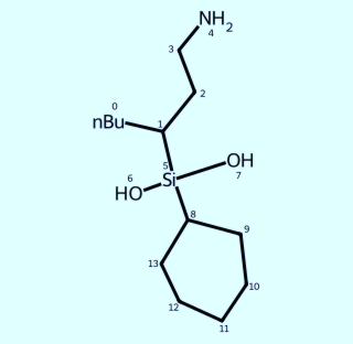 CCCCC(CCN)[Si](O)(O)C1CCCCC1